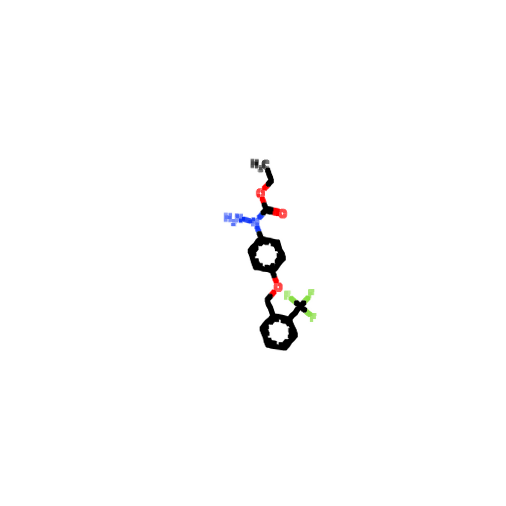 CCOC(=O)N(N)c1ccc(OCc2ccccc2C(F)(F)F)cc1